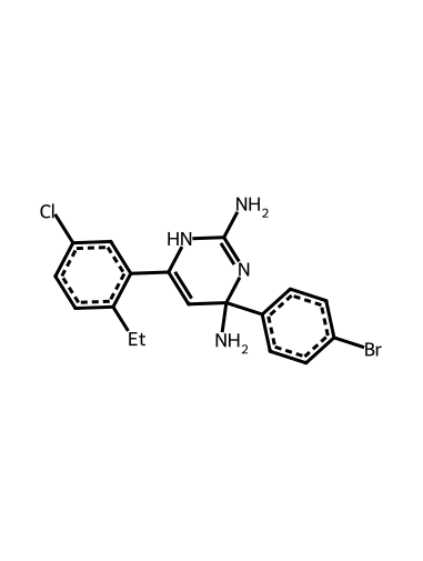 CCc1ccc(Cl)cc1C1=CC(N)(c2ccc(Br)cc2)N=C(N)N1